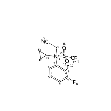 N#CC[N+](c1cccc(F)c1F)(C1CC1)S(=O)(=O)C(F)(F)F